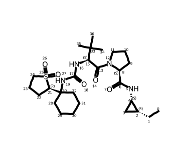 CC[C@@H]1C[C@@H]1NC(=O)[C@@H]1CCCN1C(=O)[C@@H](NC(=O)NC1([C@H]2CCCS2(=O)=O)CCCCC1)C(C)(C)C